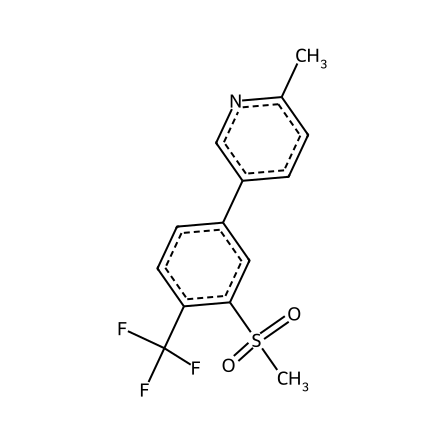 Cc1ccc(-c2ccc(C(F)(F)F)c(S(C)(=O)=O)c2)cn1